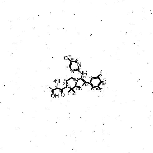 C[C@H](O)[C@H](N)C(=O)N1CCn2c(nc(-c3cc(F)c(F)c(F)c3)c2Nc2ncc(Cl)cn2)C1(C)C